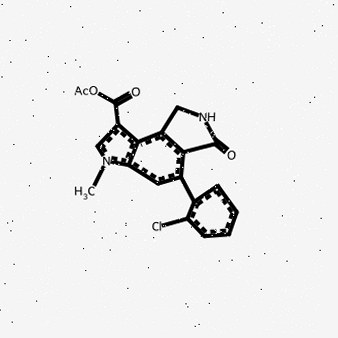 CC(=O)OC(=O)c1cn(C)c2cc(-c3ccccc3Cl)c3c(c12)CNC3=O